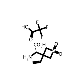 C=CC1([C@H](N)C(=O)O)CS(=O)(=O)C1.O=C(O)C(F)(F)F